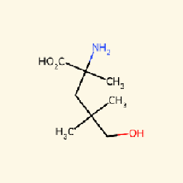 CC(C)(CO)CC(C)(N)C(=O)O